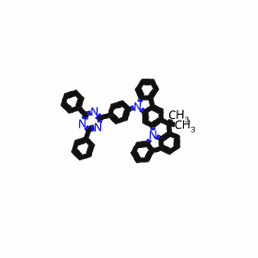 CC1(C)c2cc3c4ccccc4n(-c4ccc(-c5nc(-c6ccccc6)nc(-c6ccccc6)n5)cc4)c3cc2-n2c3ccccc3c3cccc1c32